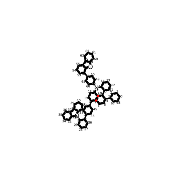 c1ccc(-c2ccccc2-c2ccccc2N(c2ccc(-c3ccc(-c4ccccc4-n4c5ccccc5c5ccccc54)cc3)cc2)c2ccc(-c3cccc4c3oc3ccccc34)cc2)cc1